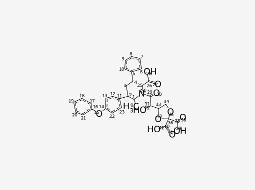 CC(C(CCc1ccccc1)c1ccc(Oc2ccccc2)cc1)N(CC(=O)O)C(=O)C(O)C1COC(C(=O)O)(C(=O)O)O1